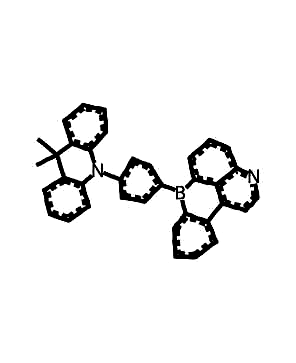 CC1(C)c2ccccc2N(c2ccc(B3c4ccccc4-c4ccnc5cccc3c45)cc2)c2ccccc21